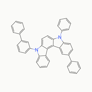 c1ccc(-c2cccc(-n3c4ccccc4c4c5c6cc(-c7ccccc7)ccc6n(-c6ccccc6)c5ccc43)c2)cc1